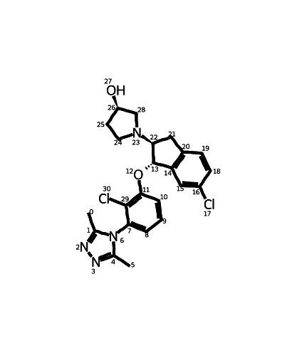 Cc1nnc(C)n1-c1cccc(O[C@H]2c3cc(Cl)ccc3C[C@@H]2N2CC[C@@H](O)C2)c1Cl